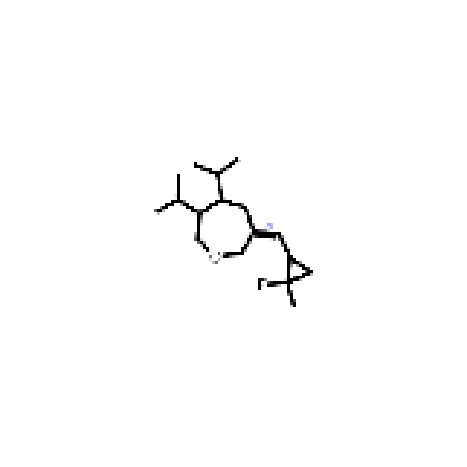 CC(C)C1COC/C(=C\C2CC2(C)F)CC1C(C)C